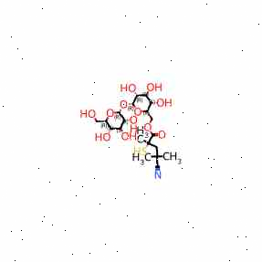 CC(C)(C#N)CC(C)(S)C(=O)OC[C@H]1O[C@H](O[C@H]2O[C@H](CO)[C@@H](O)[C@H](O)[C@H]2O)[C@H](O)[C@@H](O)[C@@H]1O